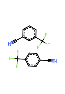 N#Cc1ccc(C(F)(F)F)cc1.N#Cc1cccc(C(F)(F)F)c1